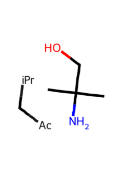 CC(=O)CC(C)C.CC(C)(N)CO